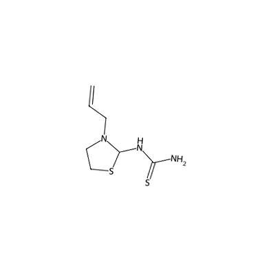 C=CCN1CCSC1NC(N)=S